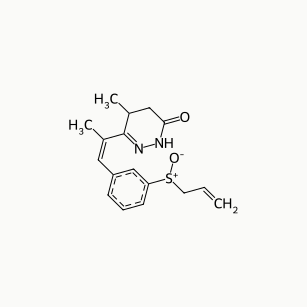 C=CC[S+]([O-])c1cccc(C=C(C)C2=NNC(=O)CC2C)c1